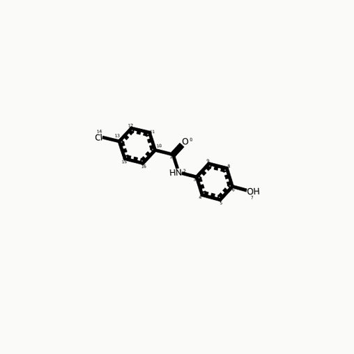 O=C(Nc1ccc(O)cc1)c1ccc(Cl)cc1